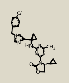 Cc1nc(NC2(c3cn(Cc4ccc(Cl)cc4)cn3)CC2)nc(N2C(=O)OC[C@@H]2C2CC2)n1